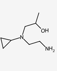 CC(O)CN(CCN)C1CC1